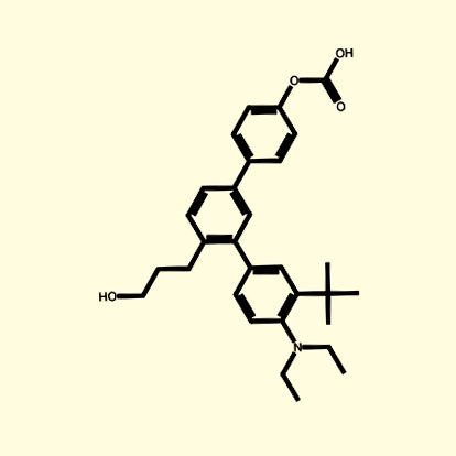 CCN(CC)c1ccc(-c2cc(-c3ccc(OC(=O)O)cc3)ccc2CCCO)cc1C(C)(C)C